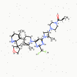 C=CC(=O)N1CCN([C@@H]2CN(c3cc(N4CC[C@H](c5c(C)ccnc5[C@]5(OC)CCOC5)C[C@H]4C)nc(C(F)F)n3)[C@@H]2C)CC1